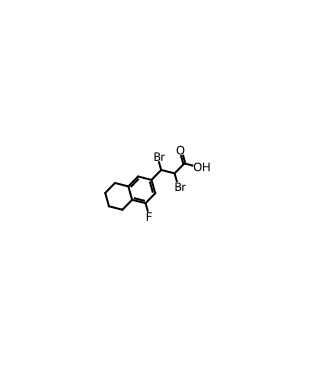 O=C(O)C(Br)C(Br)c1cc(F)c2c(c1)CCCC2